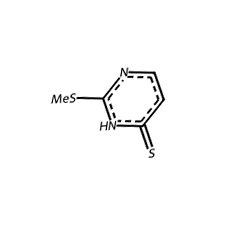 CSc1nccc(=S)[nH]1